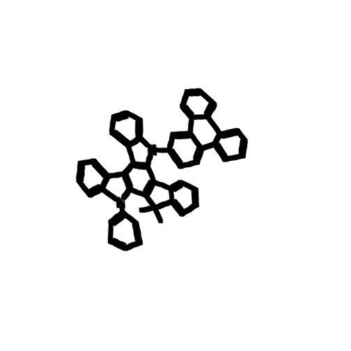 CC1(C)c2ccccc2-c2c1c1c(c3ccccc3n1-c1ccccc1)c1c3ccccc3n(-c3ccc4c5ccccc5c5ccccc5c4c3)c21